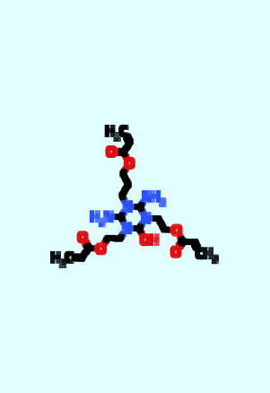 C=CC(=O)OCCCN1C(N)N(CCOC(=O)C=C)C(O)N(CCOC(=O)C=C)C1N